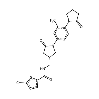 O=C(NCC1CC(=O)N(c2ccc(N3CCCC3=O)c(C(F)(F)F)c2)C1)c1ccc(Cl)s1